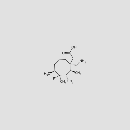 C[C@H]1CCC[C@@](CN)(CC(=O)O)[C@@H](C)[C@H](C)C1(C)F